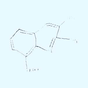 CC(C)(C)c1cc2cccc(C(C)(C)C)c2nc1C(C)(C)C